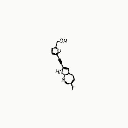 OCc1ccc(C#CC2=CC3CC=C(F)C=NC3N2)o1